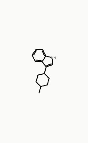 [CH2]C1CCC(c2c[nH]c3ccccc23)CC1